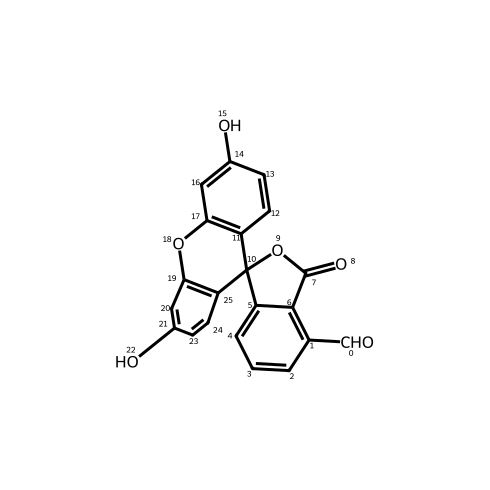 O=Cc1cccc2c1C(=O)OC21c2ccc(O)cc2Oc2cc(O)ccc21